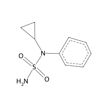 NS(=O)(=O)N(c1ccccc1)C1CC1